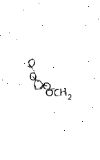 C=CC(=O)Oc1cccc(OCC2CO2)c1